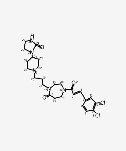 O=C(/C=C/c1ccc(Cl)c(Cl)c1)N1CCC(=O)N(CCCN2CCC(N3CCNC3=O)CC2)CC1